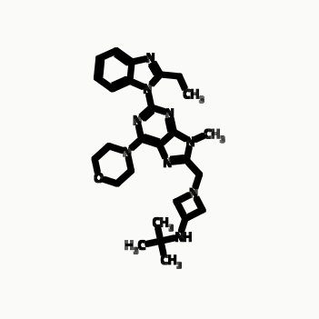 CCc1nc2ccccc2n1-c1nc(N2CCOCC2)c2nc(CN3CC(NC(C)(C)C)C3)n(C)c2n1